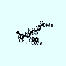 COCC1(CN(C)c2cc(-c3cc(C4CC4)nc(C(F)(F)F)c3)nc3nc(NC(=O)c4ccc(C(=O)OC)cn4)[nH]c23)CCCC1